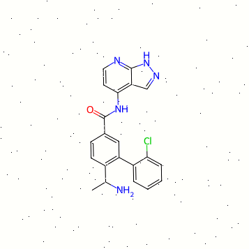 CC(N)c1ccc(C(=O)Nc2ccnc3[nH]ncc23)cc1-c1ccccc1Cl